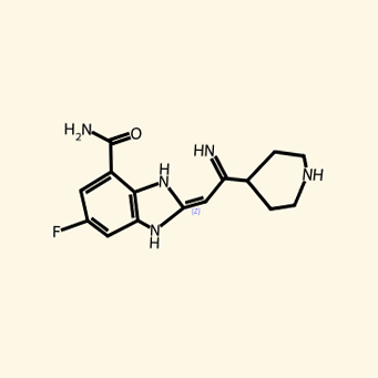 N=C(/C=C1/Nc2cc(F)cc(C(N)=O)c2N1)C1CCNCC1